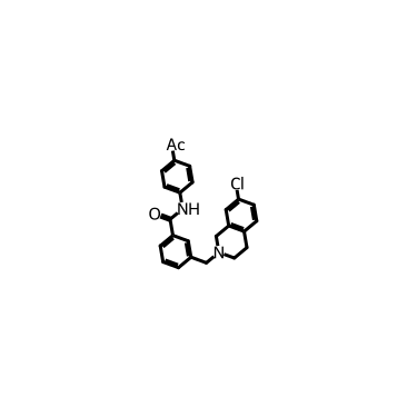 CC(=O)c1ccc(NC(=O)c2cccc(CN3CCc4ccc(Cl)cc4C3)c2)cc1